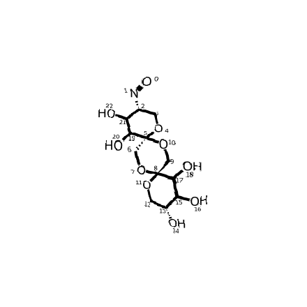 O=N[C@@H]1CO[C@]2(CO[C@@]3(CO2)OC[C@@H](O)C(O)C3O)C(O)C1O